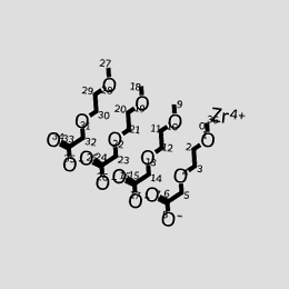 COCCOCC(=O)[O-].COCCOCC(=O)[O-].COCCOCC(=O)[O-].COCCOCC(=O)[O-].[Zr+4]